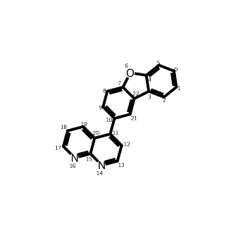 c1ccc2c(c1)oc1ccc(-c3ccnc4ncccc34)cc12